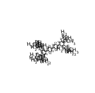 BC(Cc1cc(CC(B)(P)C(C)(F)P)cc(-c2ccc(-c3ccc(-c4cc(CC(P)(I)C(B)(F)C(B)(C)C)cc(CC(P)(I)C(B)(P)C(C)(C)C)c4)cc3)cc2)c1)C(C)(F)P